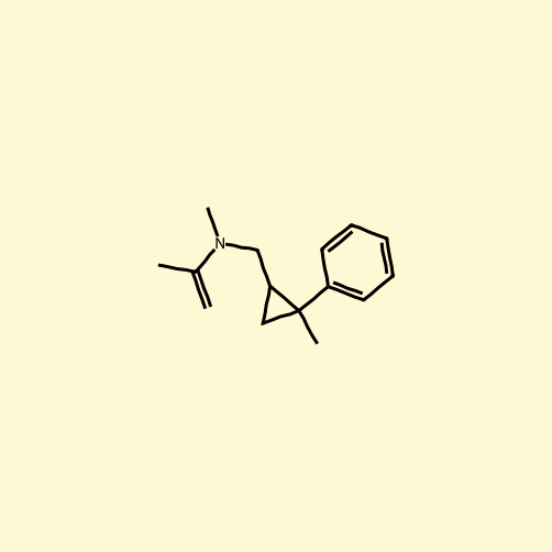 C=C(C)N(C)CC1CC1(C)c1ccccc1